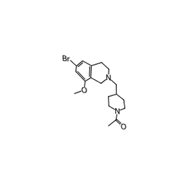 COc1cc(Br)cc2c1CN(CC1CCN(C(C)=O)CC1)CC2